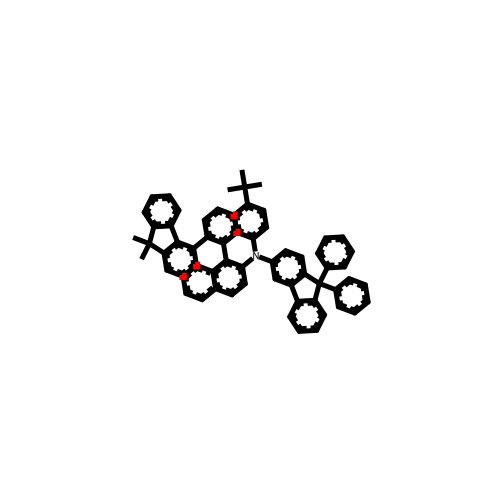 CC(C)(C)c1ccc(N(c2ccc3c(c2)-c2ccccc2C3(c2ccccc2)c2ccccc2)c2ccc3ccccc3c2-c2ccccc2-c2cccc3c2-c2ccccc2C3(C)C)cc1